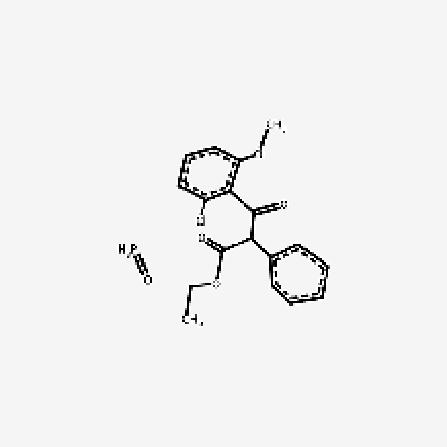 CCOC(=O)C(C(=O)c1c(Cl)cccc1OC)c1ccccc1.O=[PH3]